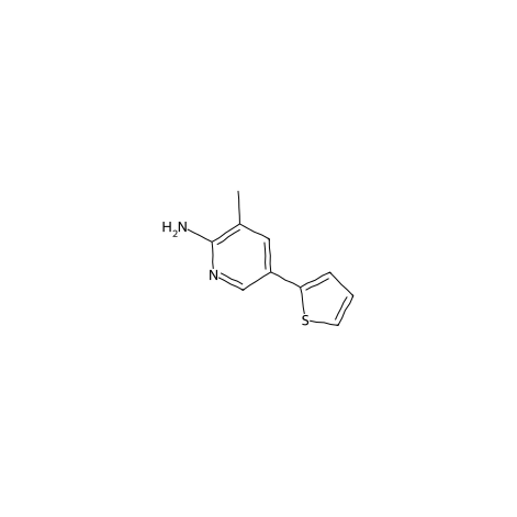 Cc1cc(-c2cccs2)cnc1N